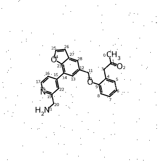 CC(=O)Cc1ccccc1OCc1cc(-c2ccnc(CN)c2)c2occc2c1